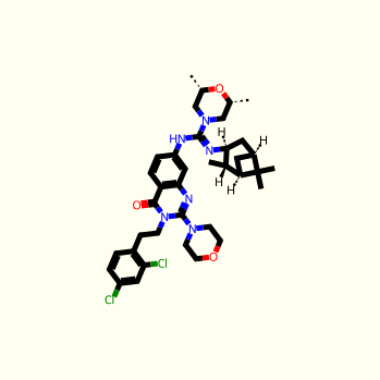 C[C@@H]1[C@@H](N=C(Nc2ccc3c(=O)n(CCc4ccc(Cl)cc4Cl)c(N4CCOCC4)nc3c2)N2C[C@@H](C)O[C@@H](C)C2)C[C@@H]2C[C@H]1C2(C)C